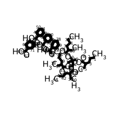 CCCCC(CC)C(=O)OCC(COC(=O)C(CC)CCCC)(COC(=O)C(CC)CCCC)COC(=O)C(CC)CCCC.O=C(O)c1ccccc1.O=C(O)c1ccccc1.O=C(O)c1ccccc1.O=C(O)c1ccccc1